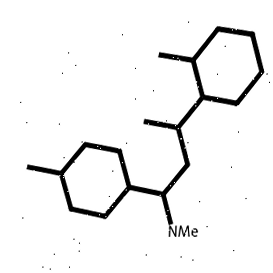 CNC(CC(C)C1CCCCC1C)C1CCC(C)CC1